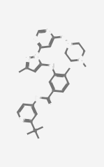 Cc1cc(Nc2cc(C(=O)Nc3ccnc(C(C)(C)C)c3)ccc2C)n(-c2cc(NN3CCN(C)CC3)ncn2)n1